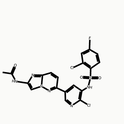 CC(=O)Nc1cn2nc(-c3cnc(Cl)c(NS(=O)(=O)c4ccc(F)cc4Cl)c3)ccc2n1